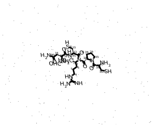 N=C(N)NCCC[C@@H](C(=O)O)N(C(=O)[C@H](CS)NC(=O)[C@H](CC(N)=O)NC=O)C(=O)[C@@H]1CCCN1C(=O)[C@@H](N)CS